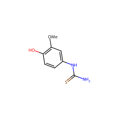 COc1cc(NC(N)=S)ccc1O